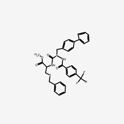 COC(=O)C(CSCc1ccccc1)NC(=O)N(Cc1ccc(-c2ccccc2)cc1)NC(=O)c1ccc(C(F)(F)F)cc1